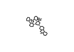 Brc1cc(-c2ccc3c(c2)sc2ccccc23)cc(-c2cccc3c4ccccc4n(-c4ccccc4)c23)c1